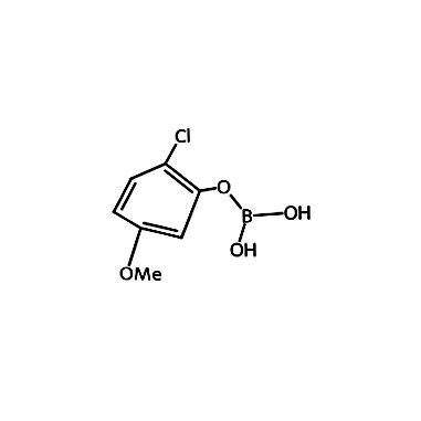 COc1ccc(Cl)c(OB(O)O)c1